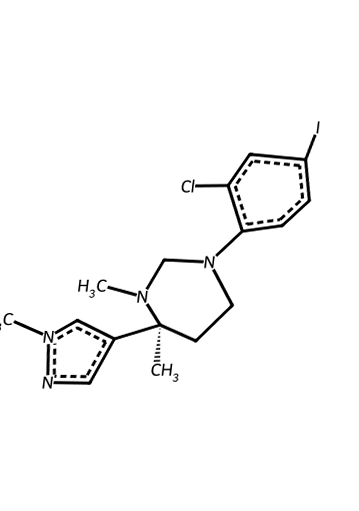 CN1CN(c2ccc(I)cc2Cl)CC[C@@]1(C)c1cnn(C)c1